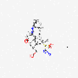 CC(C)(CC1(CCCO)COCc2nc(C(F)(F)F)ccc21)[S+](N)[O-]